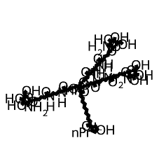 CCC[C@@H]1C[C@@H](O)CN1C(=O)CCCCCCCCCCC(=O)NC(COCCC(=O)NCCCNC(=O)CCCCOC1OC(CO)C(O)C(O)C1N)(COCCC(=O)NCCCNC(=O)CCCCOC1OC(CO)C(O)C(O)C1N)COCCC(=O)NCCCNC(=O)CCCCOC1OC(CO)C(O)C(O)C1N